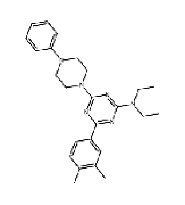 CCN(CC)c1nc(-c2ccc(C)c(C)c2)nc(N2CCN(c3ccccc3)CC2)n1